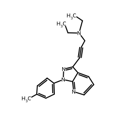 CCN(CC)CC#Cc1nn(-c2ccc(C)cc2)c2ncccc12